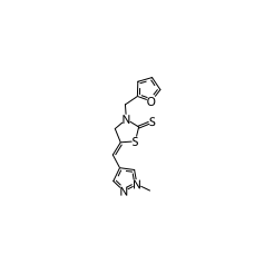 Cn1cc(/C=C2/CN(Cc3ccco3)C(=S)S2)cn1